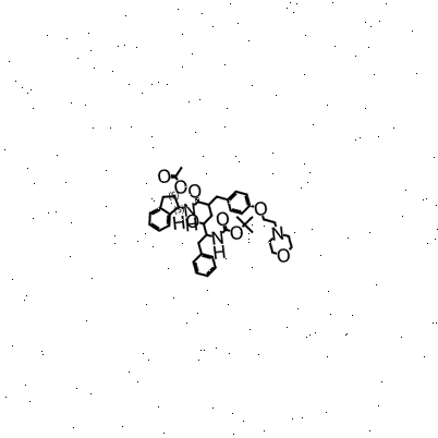 CC(=O)O[C@H]1Cc2ccccc2[C@@H]1NC(=O)C(Cc1ccc(OCCN2CCOCC2)cc1)CC(O)C(Cc1ccccc1)NC(=O)OC(C)(C)C